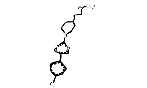 O=C(O)NCCC1CCN(c2ncc(-c3ccc(Cl)cc3)cn2)CC1